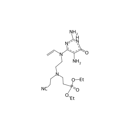 C=CN(CCN(CCC#N)CCP(=O)(OCC)OCC)c1nc(N)[nH]c(=O)c1N